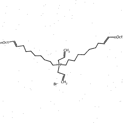 C=CC[N+](CC=C)(CCCCCCCCC=CCCCCCCCC)CCCCCCCCC=CCCCCCCCC.[Br-]